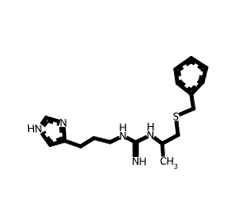 CC(CSCc1ccccc1)NC(=N)NCCCc1c[nH]cn1